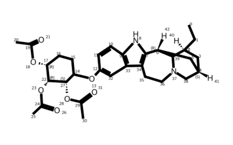 CC[C@H]1C[C@H]2C[C@H]3c4[nH]c5ccc(OC6CC[C@@H](OC(C)=O)[C@@H](OC(C)=O)[C@H]6OC(C)=O)cc5c4CCN(C2)C13